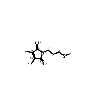 CSCCCN1C(=O)C(C)=C(C)C1=O